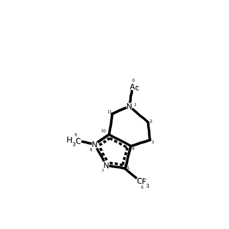 CC(=O)N1CCc2c(C(F)(F)F)nn(C)c2C1